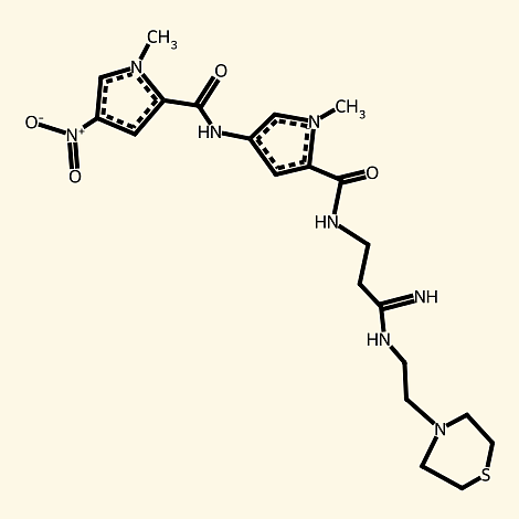 Cn1cc(NC(=O)c2cc([N+](=O)[O-])cn2C)cc1C(=O)NCCC(=N)NCCN1CCSCC1